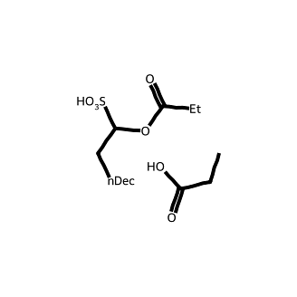 CCC(=O)O.CCCCCCCCCCCC(OC(=O)CC)S(=O)(=O)O